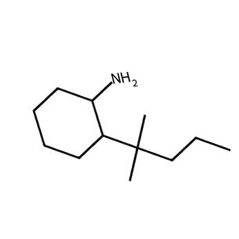 CCCC(C)(C)C1CCCCC1N